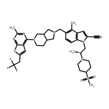 Cc1nc(N2CCC3CN(Cc4ccc5c(cc(C#N)n5C[C@H](C)N5CCC(S(C)(=O)=O)CC5)c4C)CC3C2)c2cc(CC(F)(F)F)sc2n1